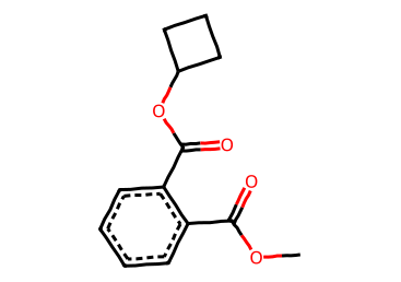 COC(=O)c1ccccc1C(=O)OC1CCC1